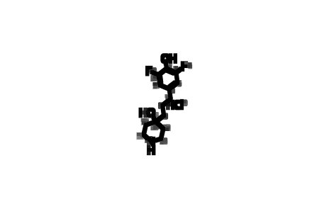 Cl.Oc1c(F)cc(CCCC2(O)CCNCC2)cc1F